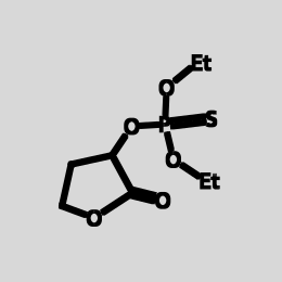 CCOP(=S)(OCC)OC1CCOC1=O